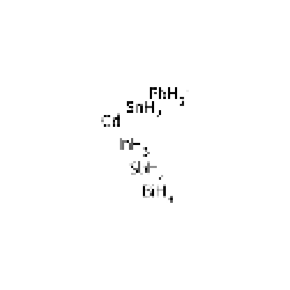 [BiH3].[Cd].[InH3].[PbH2].[SbH3].[SnH2]